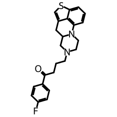 O=C(CCCN1CCN2c3cccc4scc(c34)CC2C1)c1ccc(F)cc1